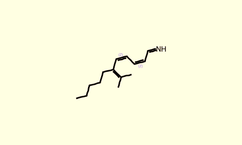 CCCCCC(/C=C\C=C/C=N)=C(C)C